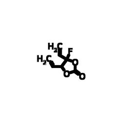 C=CC1OC(=O)OC1(F)C=C